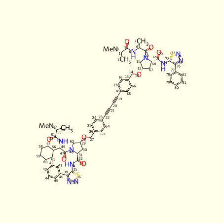 CN[C@@H](C)C(=O)N[C@@H](C)C(=O)N1C[C@@H](OCc2ccc(C#CC#Cc3ccc(CO[C@H]4C[C@@H](C(=O)Nc5snnc5-c5ccccc5)N(C(=O)[C@@H](NC(=O)[C@H](C)NC)C5CCCCC5)C4)cc3)cc2)C[C@H]1C(=O)Nc1snnc1-c1ccccc1